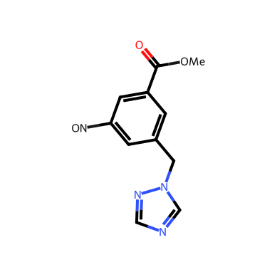 COC(=O)c1cc(Cn2cncn2)cc(N=O)c1